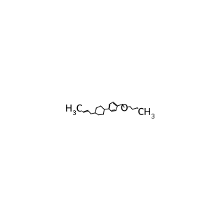 C/C=C/CC1CCC(c2ccc(COCCCC)cc2)CC1